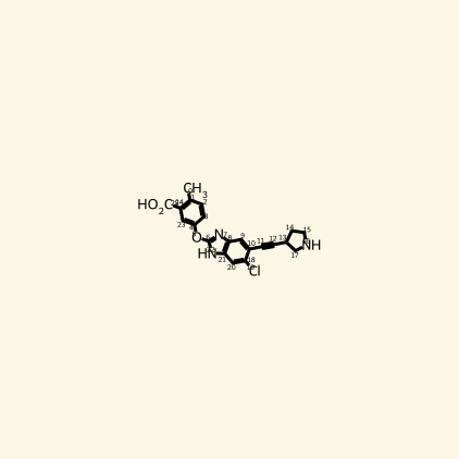 Cc1ccc(Oc2nc3cc(C#CC4CCNC4)c(Cl)cc3[nH]2)cc1C(=O)O